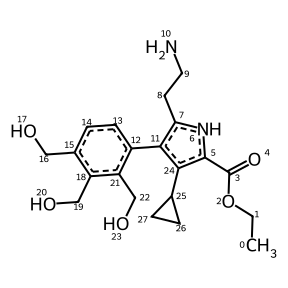 CCOC(=O)c1[nH]c(CCN)c(-c2ccc(CO)c(CO)c2CO)c1C1CC1